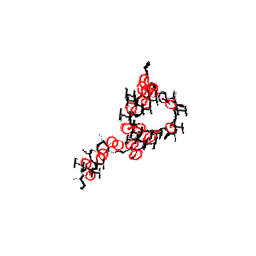 C=CCO[C@@]12CC34CC[C@H]5CC(=C)[C@H](CC[C@H]6C[C@@H](C)C(=C)C(C[C@@H]7O[C@H]8C[C@@H](OC)[C@@H](CC(=O)C[C@@H]9O[C@]%10(C[C@H](C)C%11O[C@@H]%12C[C@@H]([C@@H](C)CC)O[C@@H]%12C[C@@H]%11O%10)C[C@H](C)[C@@H]9OC)O[C@H]8[C@H](C)[C@H]7OC(=O)C[C@H]7CC[C@@H]8OC(C(O1)[C@@H](O3)[C@H]8O7)[C@@H]2O4)O6)O5